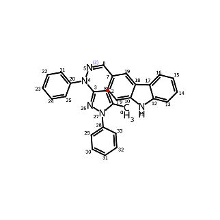 Cc1cc(N(/N=C\c2ccc3[nH]c4ccccc4c3c2)c2ccccc2)nn1-c1ccccc1